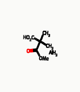 COC(=O)C(C)(C)C(=O)O.[AlH3]